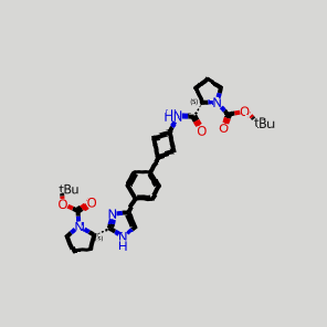 CC(C)(C)OC(=O)N1CCC[C@H]1C(=O)NC1CC(c2ccc(-c3c[nH]c([C@@H]4CCCN4C(=O)OC(C)(C)C)n3)cc2)C1